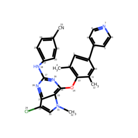 Cc1cc(-c2ccncc2)cc(C)c1Oc1nc(Nc2ccc(C#N)cc2)nc2c(Cl)cn(C)c12